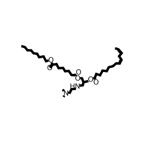 C/C=C\C/C=C\CCCCCCCC(=O)OCC(CNCCCN(C)C)COC(=O)CCCCCCC(=O)OCCCCCCCCC